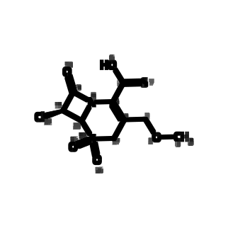 COCC1=C(C(O)=S)N2C(=O)[C@H](Cl)C2S(=O)(=O)C1